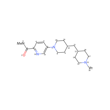 CNC(=O)c1ccc(N2CCC(CC3CCN(C(C)C)CC3)CC2)cn1